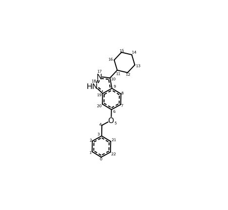 c1ccc(COc2ccc3c(C4CCCCC4)n[nH]c3c2)cc1